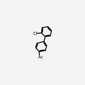 [CH2]C(=O)c1ccc(-c2ccccc2Cl)cc1